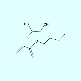 C=CC(=O)OCCCC.CC(O)CO